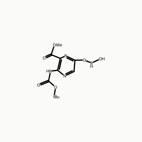 COC(=O)c1nc(OBO)cnc1NC(=O)OC(C)(C)C